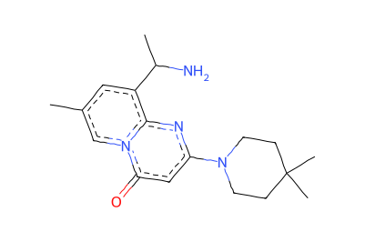 Cc1cc(C(C)N)c2nc(N3CCC(C)(C)CC3)cc(=O)n2c1